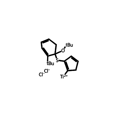 CC(C)(C)OC1(SC2=[C]([Ti+2])CC=C2)CC=CC=C1C(C)(C)C.[Cl-].[Cl-]